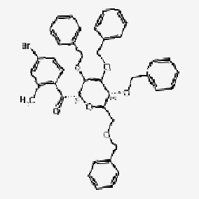 Cc1cc(Br)ccc1C(=O)[C@H]1OC(COCc2ccccc2)[C@@H](OCc2ccccc2)C(OCc2ccccc2)C1OCc1ccccc1